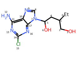 CCC(CO)CC(O)n1cnc2c(N)nc(Cl)nc21